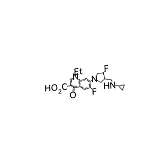 CCn1cc(C(=O)O)c(=O)c2cc(F)c(N3CC(F)C(CNC4CC4)C3)cc21